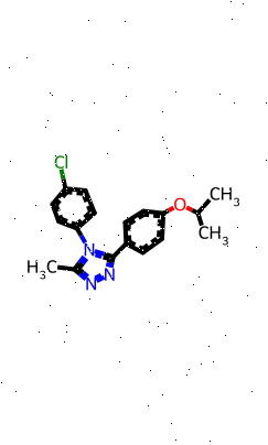 Cc1nnc(-c2ccc(OC(C)C)cc2)n1-c1ccc(Cl)cc1